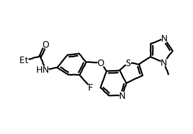 CCC(=O)Nc1ccc(Oc2ccnc3cc(-c4cncn4C)sc23)c(F)c1